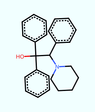 OC(c1ccccc1)(c1ccccc1)C(c1ccccc1)N1CCCCC1